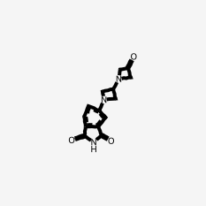 O=C1CN(C2CN(c3ccc4c(c3)C(=O)NC4=O)C2)C1